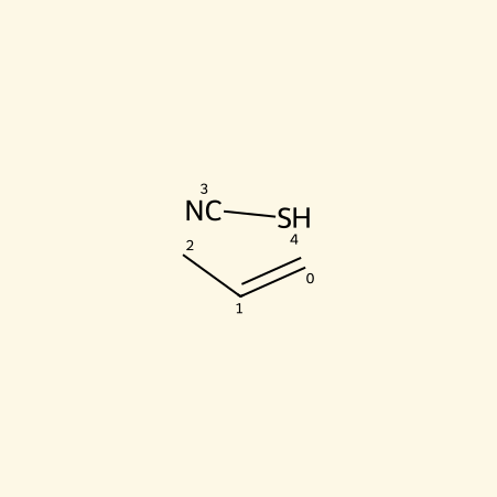 C=CC.N#CS